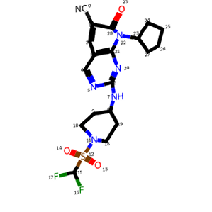 N#Cc1cc2cnc(NC3CCN(S(=O)(=O)C(F)F)CC3)nc2n(C2CCCC2)c1=O